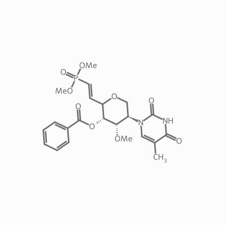 CO[C@@H]1[C@H](OC(=O)c2ccccc2)C(/C=C/P(=O)(OC)OC)OC[C@H]1n1cc(C)c(=O)[nH]c1=O